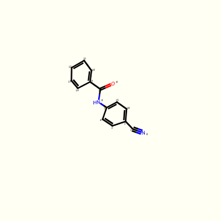 N#Cc1ccc(NC(=O)c2ccccc2)cc1